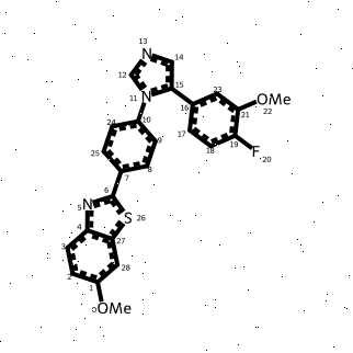 COc1ccc2nc(-c3ccc(-n4cncc4-c4ccc(F)c(OC)c4)cc3)sc2c1